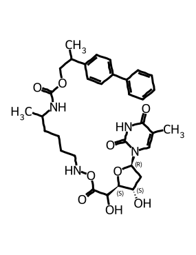 Cc1cn([C@H]2C[C@H](O)[C@@H](C(O)C(=O)ONCCCCC(C)NC(=O)OCC(C)c3ccc(-c4ccccc4)cc3)O2)c(=O)[nH]c1=O